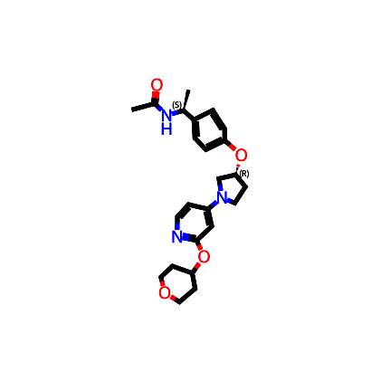 CC(=O)N[C@@H](C)c1ccc(O[C@@H]2CCN(c3ccnc(OC4CCOCC4)c3)C2)cc1